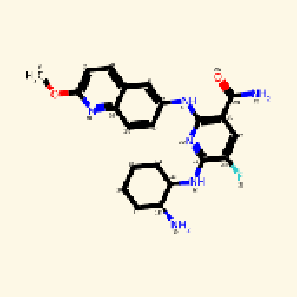 COc1ccc2cc(Nc3nc(N[C@@H]4CCCC[C@@H]4N)c(F)cc3C(N)=O)ccc2n1